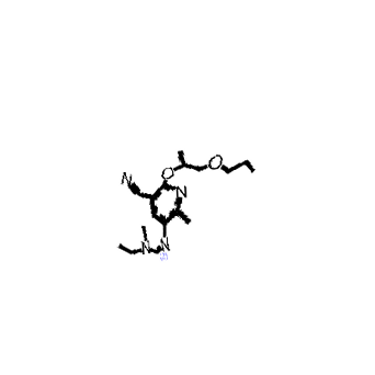 CCCOCC(C)Oc1nc(C)c(/N=C\N(C)CC)cc1C#N